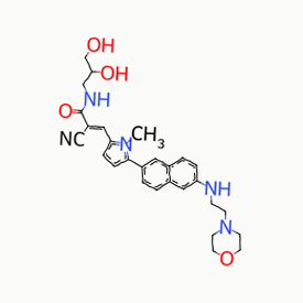 Cn1c(/C=C(\C#N)C(=O)NCC(O)CO)ccc1-c1ccc2cc(NCCN3CCOCC3)ccc2c1